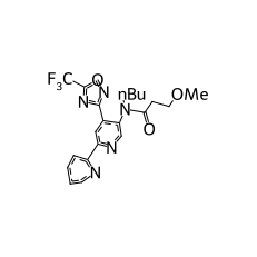 CCCCN(C(=O)CCOC)c1cnc(-c2ccccn2)cc1-c1noc(C(F)(F)F)n1